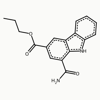 CCCOC(=O)c1cc(C(N)=O)c2[nH]c3ccccc3c2c1